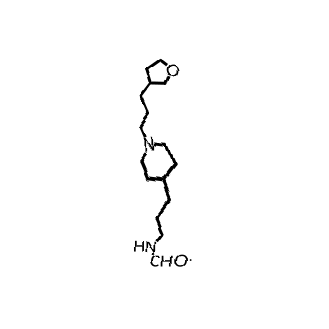 O=[C]NCCCC1CCN(CCCC2CCOC2)CC1